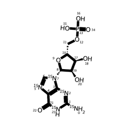 [15NH2]c1[15n]c2c([15n]c[15n]2[C@@H]2O[C@H](COP(=O)(O)O)[C@@H](O)[C@H]2O)c(=O)[15nH]1